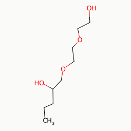 CCCC(O)COCCOCCO